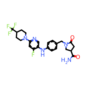 NC(=O)C1CC(=O)N(Cc2ccc(Nc3cnc(N4CCC(C(F)(F)F)CC4)cc3F)cc2)C1